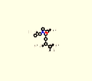 CC(C)(C)c1cc(-c2ccc(-c3cccc(N(c4ccc5c(c4)C(C)(C)c4ccccc4-5)c4ccccc4-c4cccc(C(C)(C)C)c4)c3)cc2)cc(-c2cc(C(C)(C)C)cc(C(C)(C)C)c2)c1